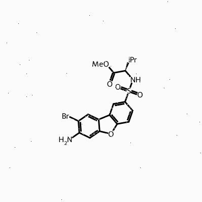 COC(=O)[C@H](NS(=O)(=O)c1ccc2oc3cc(N)c(Br)cc3c2c1)C(C)C